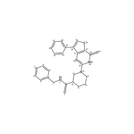 O=C(NCc1ccncc1)C1CCCN(c2nc3c(-c4ccccc4)csc3c(=O)[nH]2)C1